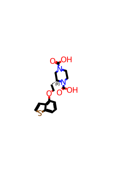 O=C(O)N1CCN(C(=O)O)[C@H](CCOc2cccc3sccc23)C1